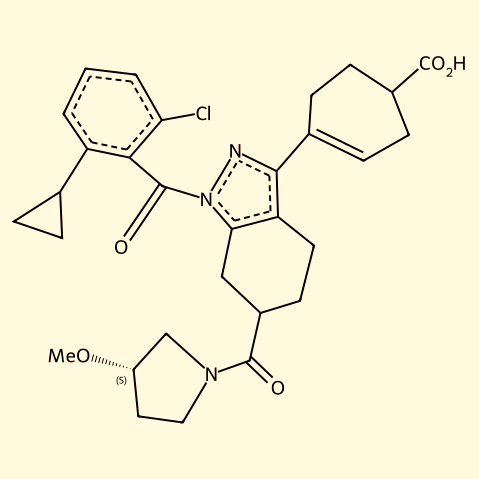 CO[C@H]1CCN(C(=O)C2CCc3c(C4=CCC(C(=O)O)CC4)nn(C(=O)c4c(Cl)cccc4C4CC4)c3C2)C1